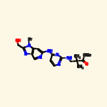 COC(=O)C(C)(C)CNc1nccc(Nc2cc3c(cn2)nc(CO)n3C(C)C)n1